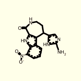 Nc1ncc(C2CCNC(=O)c3[nH]c4c([N+](=O)[O-])cccc4c32)[nH]1